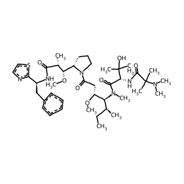 CC[C@H](C)[C@@H]([C@@H](CC(=O)N1CCC[C@H]1[C@H](OC)[C@@H](C)C(=O)N[C@@H](Cc1ccccc1)c1nccs1)OC)N(C)C(=O)[C@@H](NC(=O)C(C)(C)N(C)C)C(C)(C)O